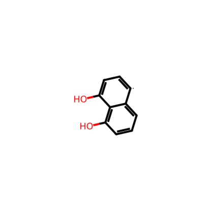 Oc1cc[c]c2cccc(O)c12